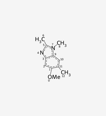 COc1cc2nc(C)n(C)c2cc1C